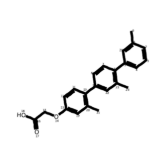 Cc1cccc(-c2ccc(-c3ccc(OCC(=O)O)cc3C)cc2C)c1